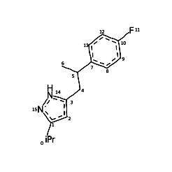 CC(C)c1cc(CC(C)c2ccc(F)cc2)[nH]n1